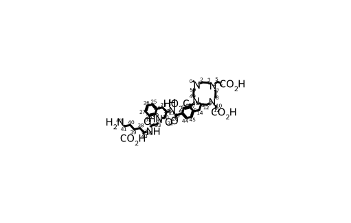 CN1CCN(CC(=O)O)CCN(CC(=O)O)CC(Cc2ccc(C(=O)NC(Cc3ccccc3)C(=O)NCC(=O)NC(CCCCN)C(=O)O)cc2)N(CC(=O)O)CC1